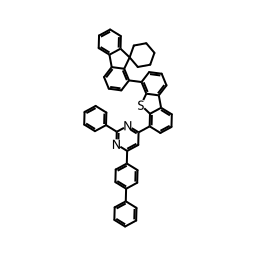 c1ccc(-c2ccc(-c3cc(-c4cccc5c4sc4c(-c6cccc7c6C6(CCCCC6)c6ccccc6-7)cccc45)nc(-c4ccccc4)n3)cc2)cc1